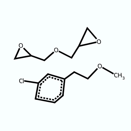 C(OCC1CO1)C1CO1.COCCc1cccc(Cl)c1